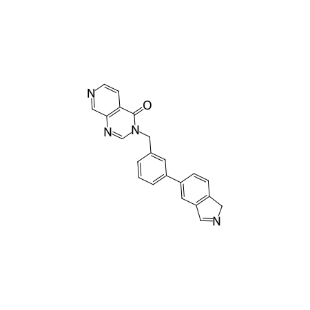 O=c1c2ccncc2ncn1Cc1cccc(-c2ccc3c(c2)C=NC3)c1